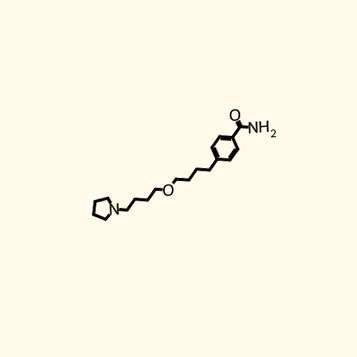 NC(=O)c1ccc(CCCCOCCCCN2CCCC2)cc1